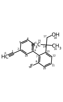 C#Cc1cccc(-c2c(F)c[c]cc2C(C)(C)CO)c1